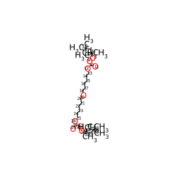 CC(C)(C)CC(C)(C)OOC(=O)OCCCCCCOCCCCCCOC(=O)OOC(C)(C)CC(C)(C)C